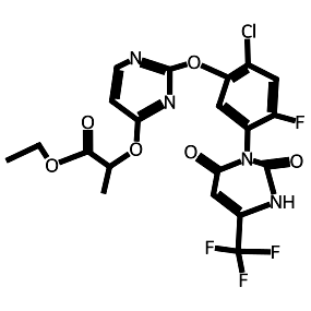 CCOC(=O)C(C)Oc1ccnc(Oc2cc(-n3c(=O)cc(C(F)(F)F)[nH]c3=O)c(F)cc2Cl)n1